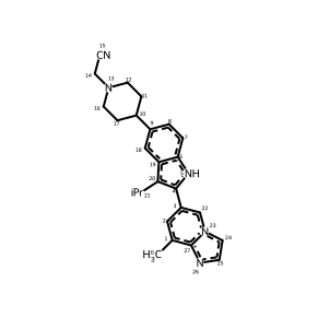 Cc1cc(-c2[nH]c3ccc(C4CCN(CC#N)CC4)cc3c2C(C)C)cn2ccnc12